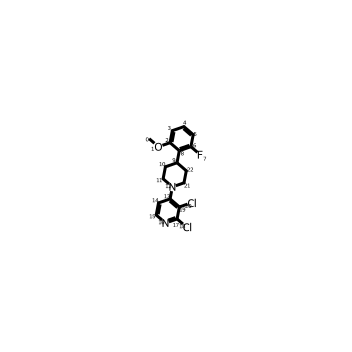 COc1cccc(F)c1C1CCN(c2ccnc(Cl)c2Cl)CC1